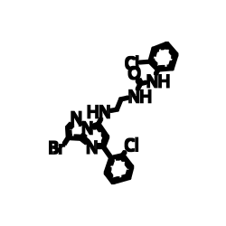 O=C(NCCNc1cc(-c2ccccc2Cl)nc2c(Br)cnn12)Nc1ccccc1Cl